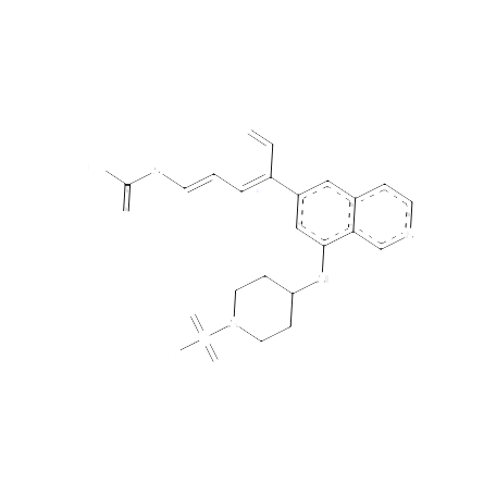 C=C/C(=C\C=C\NC(C)=O)c1cc(NC2CCN(S(C)(=O)=O)CC2)c2cnccc2c1